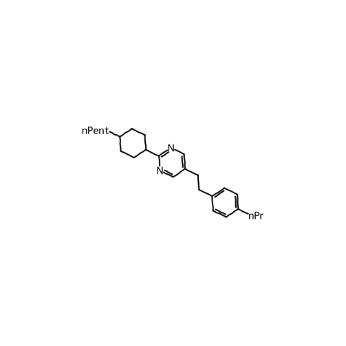 CCCCCC1CCC(c2ncc(CCc3ccc(CCC)cc3)cn2)CC1